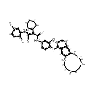 O=C(Nc1ccc(Oc2ncnc3cc4c(cc23)OCCOCCOCCO4)c(Cl)c1)c1c2n(n(-c3cc(F)ccc3F)c1=O)CCCC2